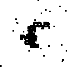 CCOC(=O)c1csc([C@@H](C[C@@H](NC(=O)OC(C)(C)C)C(C)C)N=[N+]=[N-])n1